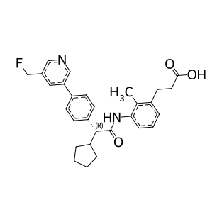 Cc1c(CCC(=O)O)cccc1NC(=O)[C@@H](c1ccc(-c2cncc(CF)c2)cc1)C1CCCC1